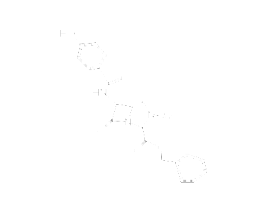 CC(=O)N1CC2C(NC(=O)c3ccc(O)cc3)C(=O)N2C1C(=O)OCc1ccccc1